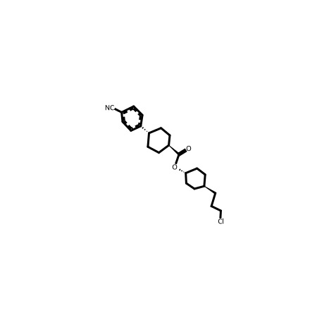 N#Cc1ccc([C@H]2CC[C@H](C(=O)O[C@H]3CC[C@H](CCCCl)CC3)CC2)cc1